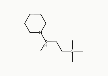 C[SH](CCS(C)(C)C)N1CCCCC1